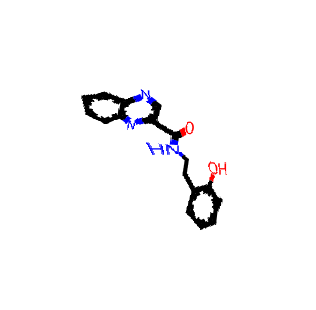 O=C(NCCc1ccccc1O)c1cnc2ccccc2n1